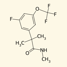 CNC(=O)C(C)(C)c1cc(F)cc(OC(F)(F)F)c1